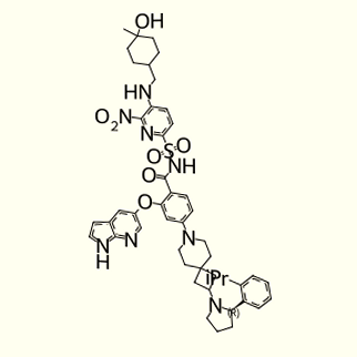 CC(C)c1ccccc1[C@H]1CCCN1C1CC2(CCN(c3ccc(C(=O)NS(=O)(=O)c4ccc(NCC5CCC(C)(O)CC5)c([N+](=O)[O-])n4)c(Oc4cnc5[nH]ccc5c4)c3)CC2)C1